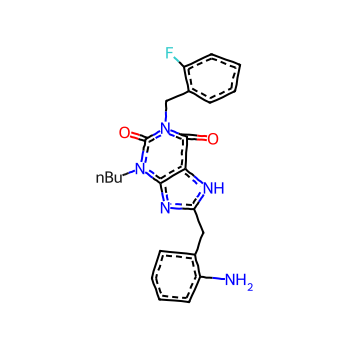 CCCCn1c(=O)n(Cc2ccccc2F)c(=O)c2[nH]c(Cc3ccccc3N)nc21